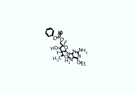 C=C(C)[C@]1(F)[C@H](n2cnc3c(OCC)nc(N)nc32)O[C@](F)(CO[PH](=O)Oc2ccccc2)[C@H]1O